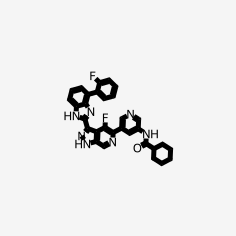 O=C(Nc1cncc(-c2ncc3[nH]nc(-c4nc5c(-c6ccccc6F)cccc5[nH]4)c3c2F)c1)C1CCCCC1